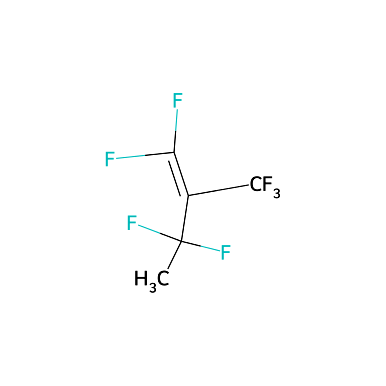 CC(F)(F)C(=C(F)F)C(F)(F)F